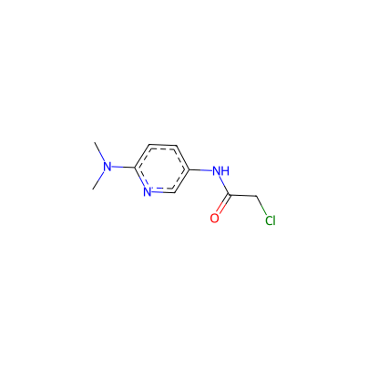 CN(C)c1ccc(NC(=O)CCl)cn1